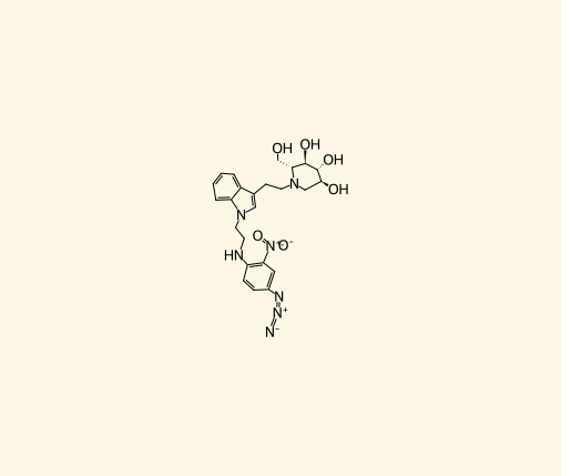 [N-]=[N+]=Nc1ccc(NCCn2cc(CCN3C[C@H](O)[C@@H](O)[C@H](O)[C@H]3CO)c3ccccc32)c([N+](=O)[O-])c1